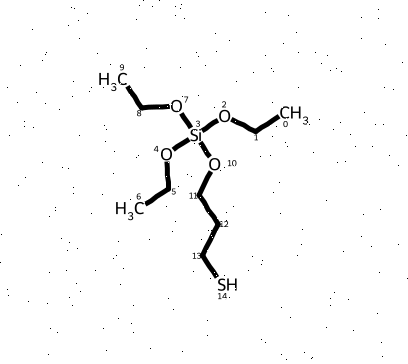 CCO[Si](OCC)(OCC)OCCCS